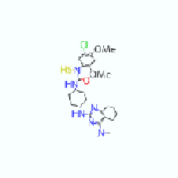 COc1cc(OC)c(N(S)C(=O)NC2CCC(Nc3nc4c(c(N(C)C)n3)CCCC4)CC2)cc1Cl